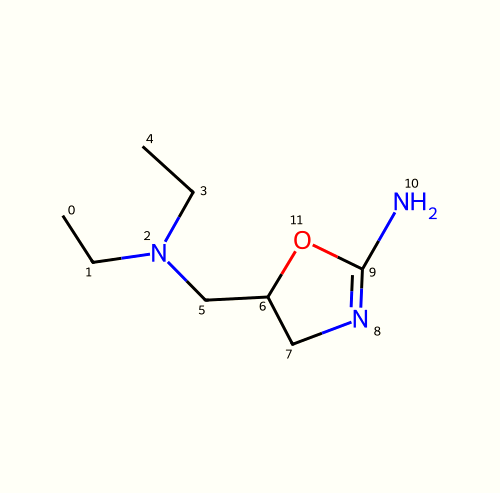 CCN(CC)CC1CN=C(N)O1